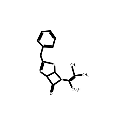 CC(C)=C(C(=O)O)N1C(=O)C2N=C(Cc3ccccc3)SC21